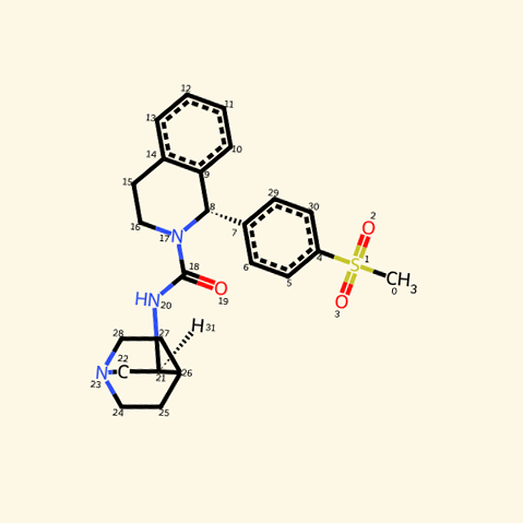 CS(=O)(=O)c1ccc([C@H]2c3ccccc3CCN2C(=O)N[C@@H]2CN3CCC2CC3)cc1